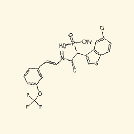 O=C(N/C=C/c1cccc(OC(F)(F)F)c1)C(c1csc2ccc(Cl)cc12)P(=O)(O)O